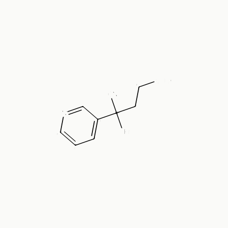 CC(C)C(C#N)(CCC=O)c1cccnc1